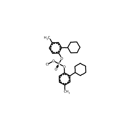 Cc1ccc(OP(=O)(OCl)Oc2ccc(C)cc2C2CCCCC2)c(C2CCCCC2)c1